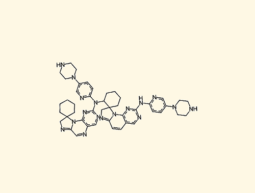 C1=Cc2cnc(Nc3ccc(N4CCNCC4)cn3)nc2N2C1=NCC21CCCCC1N(c1ccc(N2CCNCC2)cn1)c1ncc2c(n1)N1C(=NCC13CCCCC3)C=N2